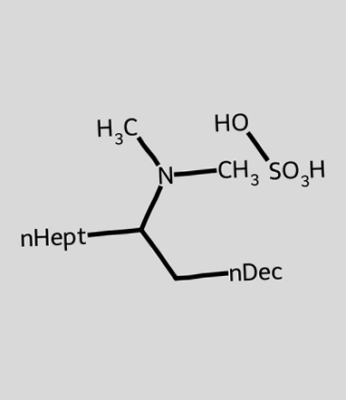 CCCCCCCCCCCC(CCCCCCC)N(C)C.O=S(=O)(O)O